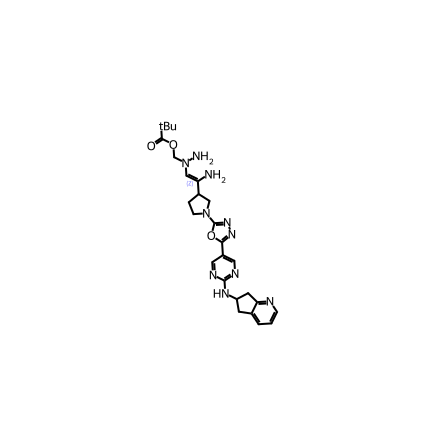 CC(C)(C)C(=O)OCN(N)/C=C(\N)C1CCN(c2nnc(-c3cnc(NC4Cc5cccnc5C4)nc3)o2)C1